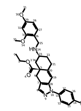 CCOC(=O)[C@]12Cc3cnn(-c4ccc(F)cc4)c3C=C1CC[C@H](NCc1ccc(OC)cc1OC)C2